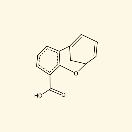 O=C(O)c1cccc2c1OC1C=CC=C2C1